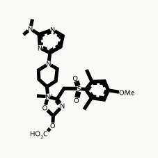 COc1cc(C)c(S(=O)(=O)CC2=NC(OC(=O)O)O[N+]2(C)C2CCN(c3ccnc(N(C)C)n3)CC2)c(C)c1